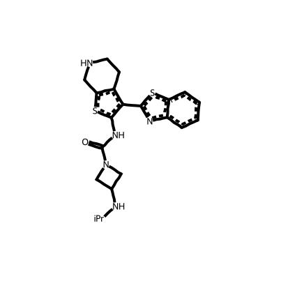 CC(C)NC1CN(C(=O)Nc2sc3c(c2-c2nc4ccccc4s2)CCNC3)C1